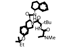 CCC(C)(C)Oc1ccc2c(c1)CN(C(=O)[C@@H](NC(=O)[C@H](C)NC)C(C)(C)C)[C@H](C(=O)N[C@@H]1CCCc3ccccc31)C2